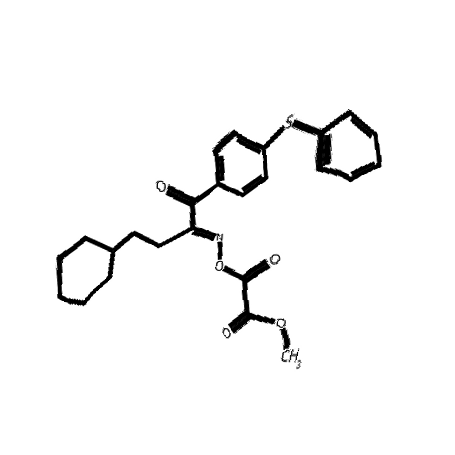 COC(=O)C(=O)O/N=C(\CCC1CCCCC1)C(=O)c1ccc(Sc2ccccc2)cc1